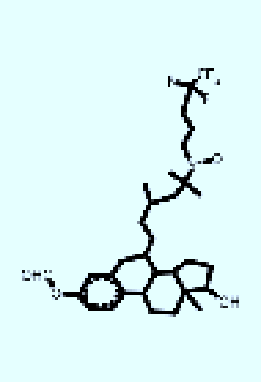 CC(CCC1Cc2cc(OC=O)ccc2C2CCC3(C)C(O)CCC3C12)CC(C)(C)[S+]([O-])CCCC(F)(F)C(F)(F)F